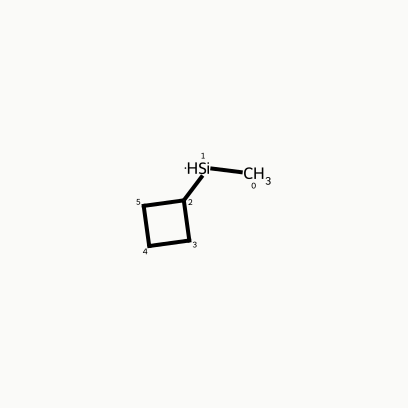 C[SiH]C1CCC1